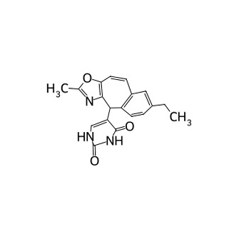 CCc1ccc2c(c1)C=Cc1oc(C)nc1C2c1c[nH]c(=O)[nH]c1=O